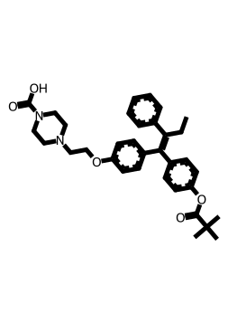 CCC(=C(c1ccc(OCCN2CCN(C(=O)O)CC2)cc1)c1ccc(OC(=O)C(C)(C)C)cc1)c1ccccc1